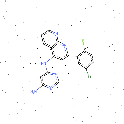 Nc1cc(Nc2cc(-c3cc(Cl)ccc3F)nc3ncccc23)ncn1